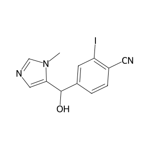 Cn1cncc1C(O)c1ccc(C#N)c(I)c1